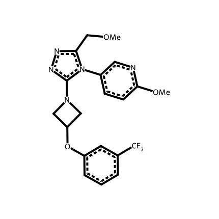 COCc1nnc(N2CC(Oc3cccc(C(F)(F)F)c3)C2)n1-c1ccc(OC)nc1